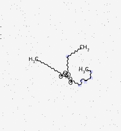 CC/C=C\C/C=C\C/C=C\C/C=C\C/C=C\CCCC(=O)OC[C@@H](COC(=O)CCCCCCCCCCCCCCC)OC(=O)CCCCCCC/C=C\CCCCCCCC